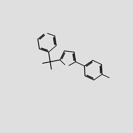 CC(O)(c1ccncc1)c1ccc(-c2ccc(F)cc2)o1